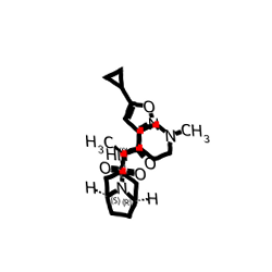 C[C@@H](C1CCN(C)CC1)S(=O)(=O)N1[C@@H]2CC[C@H]1C[C@@H](NC(=O)c1cc(C3CC3)on1)C2